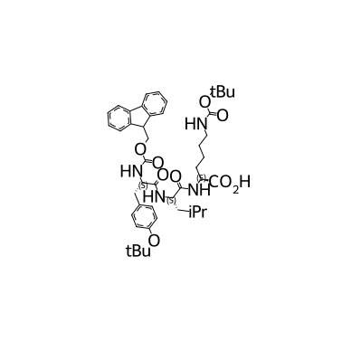 CC(C)C[C@H](NC(=O)[C@H](Cc1ccc(OC(C)(C)C)cc1)NC(=O)OCC1c2ccccc2-c2ccccc21)C(=O)N[C@@H](CCCCNC(=O)OC(C)(C)C)C(=O)O